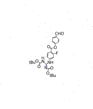 CC(C)(C)OC(=O)/N=C(/NC(=O)OC(C)(C)C)Nc1ccc(C(=O)Oc2ccc(C=O)cc2)c(F)c1